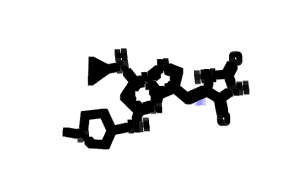 CN1CCC(Nc2cc(NC3CC3)n3ncc(/C=C4\NC(=O)NC4=O)c3n2)CC1